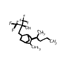 CCCC(C)C1C(C)C2CC(CC(O)(C(F)(F)F)C(F)(F)F)C1C2